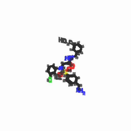 CCc1c(Cl)cccc1N(CC(=O)NCc1cccc(C(=O)O)c1)S(=O)(=O)c1ccc(CN)cc1